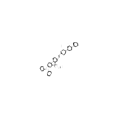 CCC1(CC)c2cc(/C=C/c3ccc(-c4ccc(-c5ccccc5)c(C)c4C)cc3)ccc2-c2ccc(N(c3ccccc3)c3ccccc3)cc21